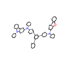 c1ccc(-c2cc(-c3ccc(N(c4ccccc4)c4ccc5c(c4)oc4ccccc45)cc3)cc(-c3ccc(N(c4ccccc4)c4ccc5c(c4)c4ccccc4n5-c4ccccc4)cc3)c2)cc1